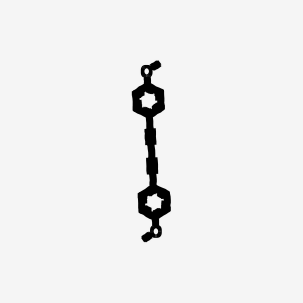 COc1ccc(C#CC#Cc2ccc(OC)cc2)cc1